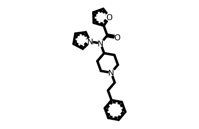 O=C(c1ccco1)N(C1CCN(CCc2ccccc2)CC1)n1cccc1